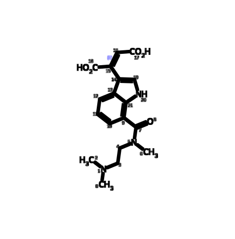 CN(C)CCN(C)C(=O)c1cccc2c(/C(=C\C(=O)O)C(=O)O)c[nH]c12